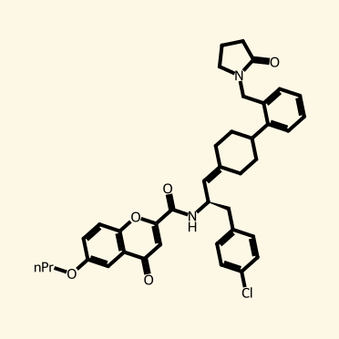 CCCOc1ccc2oc(C(=O)N[C@@H](C=C3CCC(c4ccccc4CN4CCCC4=O)CC3)Cc3ccc(Cl)cc3)cc(=O)c2c1